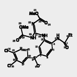 CCC(=O)Nc1ccc([S+]([O-])c2ccc(Cl)c(Cl)c2)cc1NC(=NC(=O)OC)NC(=O)OC